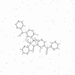 Cc1ccc(C(=O)c2ccccc2)c(C)c1C(=O)P(=O)(C(=O)c1c(C)ccc(C(=O)c2ccccc2)c1C)c1ccccc1